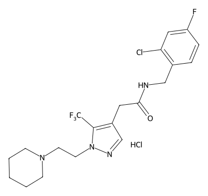 Cl.O=C(Cc1cnn(CCN2CCCCC2)c1C(F)(F)F)NCc1ccc(F)cc1Cl